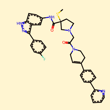 CS[C@@]1(C(=O)Nc2ccc3[nH]nc(-c4ccc(F)cc4)c3c2)CCN(CC(=O)N2CC=C(c3ccc(-c4ccccn4)cc3)CC2)C1